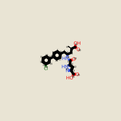 C[C@H](CC(Cc1ccc(-c2cccc(Cl)c2)cc1)NC(=O)c1cc(C(=O)O)n[nH]1)C(=O)O